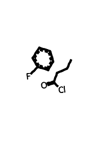 CCCC(=O)Cl.Fc1ccccc1